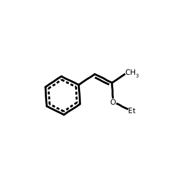 CCOC(C)=Cc1ccccc1